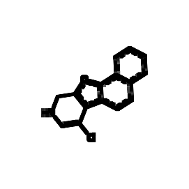 ClC1=CNCc2oc3c(ccc4ccccc43)c21